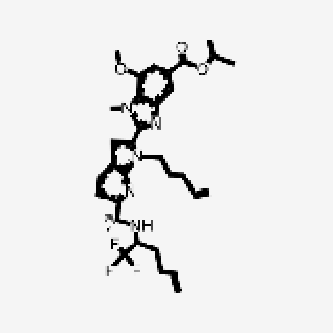 C=CCCCn1c(-c2nc3cc(C(=O)OC(C)C)cc(OC)c3n2C)cc2ccc([C@@H](C)NC(CCC=C)C(F)(F)F)nc21